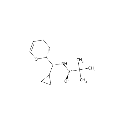 CC(C)(C)[S@@+]([O-])N[C@H](C1CC1)[C@H]1CCC=CO1